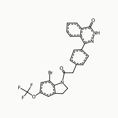 O=C(Cc1ccc(-c2n[nH]c(=O)c3ccccc23)cc1)N1CCc2cc(OC(F)(F)F)cc(Br)c21